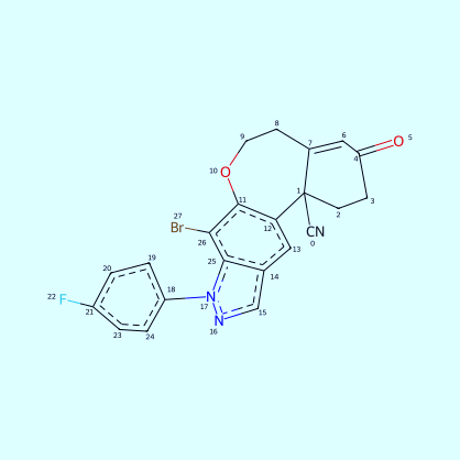 N#CC12CCC(=O)C=C1CCOc1c2cc2cnn(-c3ccc(F)cc3)c2c1Br